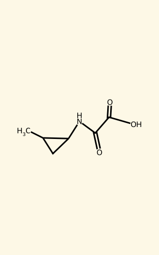 CC1CC1NC(=O)C(=O)O